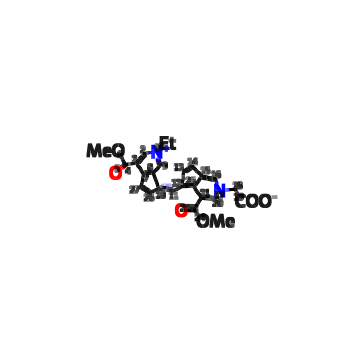 CC[n+]1cc(C(=O)OC)c2c(c1)/C(=C\c1ccc3cn(CC(=O)[O-])cc(C(=O)OC)c1-3)C=C2